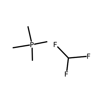 C[P](C)(C)C.FC(F)F